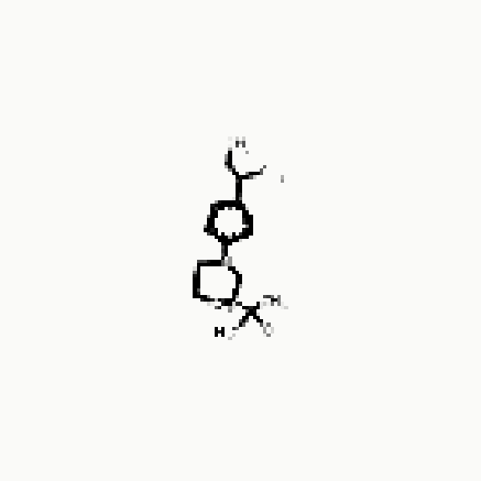 CCC(C)c1ccc(N2CCO[C@H](C(C)(C)O)C2)cc1